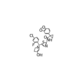 O=C(Nc1ncc([C@H](c2ccc(Cl)cc2F)N2C=C(O)CC2)s1)C1(c2ccc3c(c2)OCO3)CC1